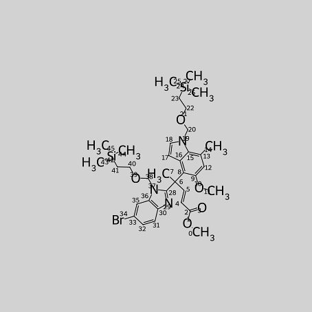 COC(=O)/C=C/C(C)(c1c(OC)cc(C)c2c1ccn2COCC[Si](C)(C)C)c1nc2ccc(Br)cc2n1COCC[Si](C)(C)C